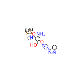 CCSC(SCC)[C@@H]1CCCN1C(=O)c1cc(CO)c(OCN2CCN(c3ncnc4ccccc34)CC2)cc1N